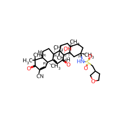 CC1(C)C(=O)C(C#N)=C[C@]2(C)C3=CC(=O)[C@]4(O)[C@@H]5C[C@@](C)(NS(=O)(=O)CC6CCOC6)CC[C@]5(C)CC[C@@]4(C)[C@]3(C)CC[C@@H]12